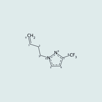 C=CC[CH]n1ccc(C(F)(F)F)n1